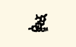 Cc1ccnc(Cn2c(C(=O)O)cc3cc(C)cc(C(C)C)c32)c1